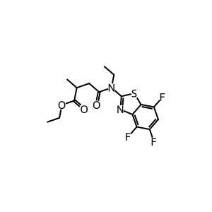 CCOC(=O)C(C)CC(=O)N(CC)c1nc2c(F)c(F)cc(F)c2s1